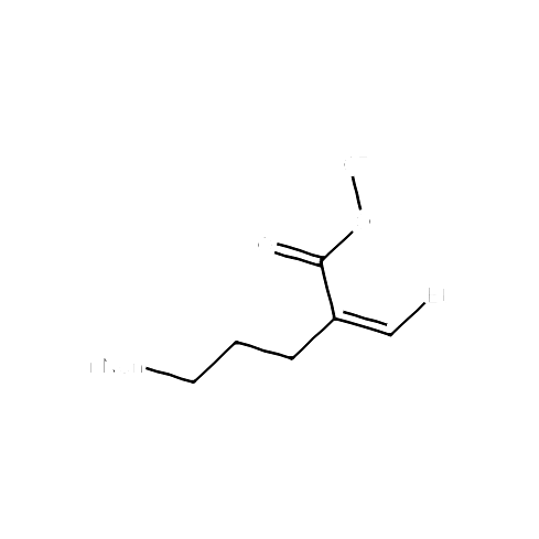 CCC=C(CCCCCCCCCCCC)C(=O)OC(F)(F)F